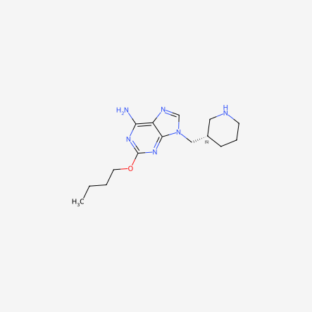 CCCCOc1nc(N)c2ncn(C[C@H]3CCCNC3)c2n1